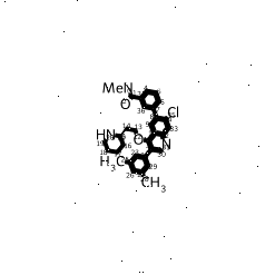 CNC(=O)c1cccc(-c2cc3c(OCC[C@H]4CCCCN4)c(-c4cc(C)cc(C)c4)cnc3cc2Cl)c1